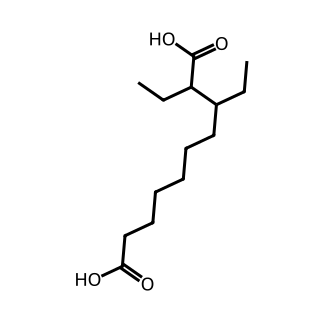 CCC(CCCCCCC(=O)O)C(CC)C(=O)O